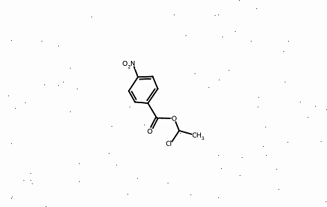 CC(Cl)OC(=O)c1ccc([N+](=O)[O-])cc1